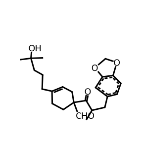 CC(Cc1ccc2c(c1)OCO2)C(=O)C1(C=O)CC=C(CCCC(C)(C)O)CC1